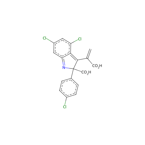 C=C(C(=O)O)C1=c2c(Cl)cc(Cl)cc2=NC1(C(=O)O)c1ccc(Cl)cc1